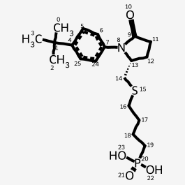 CC(C)(C)c1ccc(N2C(=O)CC[C@@H]2CSCCCCP(=O)(O)O)cc1